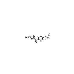 C[C@H]1O[C@]1(C)Cc1ccc(C(=O)NCCO)cc1